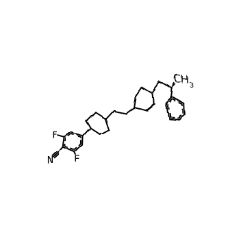 C[C@H](CC1CCC(CCC2CCC(c3cc(F)c(C#N)c(F)c3)CC2)CC1)c1ccccc1